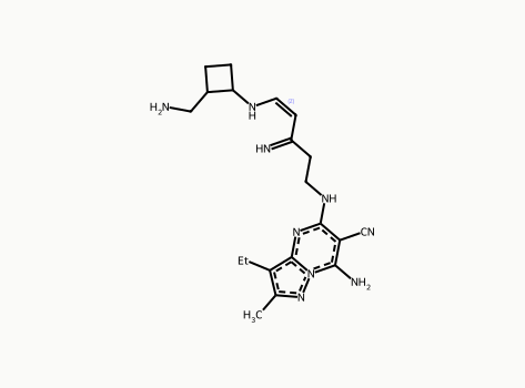 CCc1c(C)nn2c(N)c(C#N)c(NCCC(=N)/C=C\NC3CCC3CN)nc12